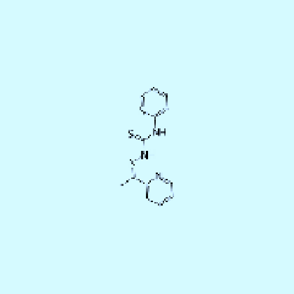 CC(=NNC(=S)Nc1ccccn1)c1ccccn1